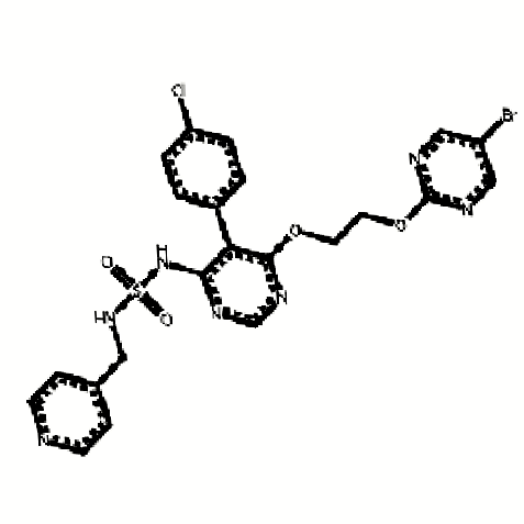 O=S(=O)(NCc1ccncc1)Nc1ncnc(OCCOc2ncc(Br)cn2)c1-c1ccc(Cl)cc1